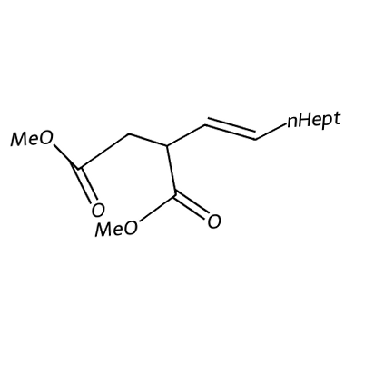 CCCCCCCC=CC(CC(=O)OC)C(=O)OC